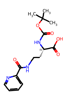 CC(C)(C)OC(=O)N[C@@H](CCNC(=O)c1ccccn1)C(=O)O